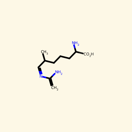 C=C(N)/N=C\C(C)CCCC(N)C(=O)O